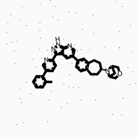 Cc1ccccc1-c1ccc(-c2n[nH]c3ncc(-c4ccc5c(c4)CC[C@@H](N4C6COCC4C6)CC5)cc23)nc1